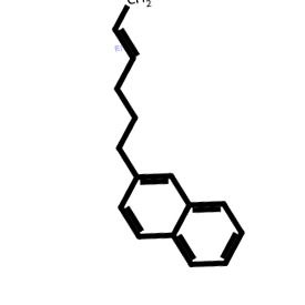 [CH2]/C=C/CCCc1ccc2ccccc2c1